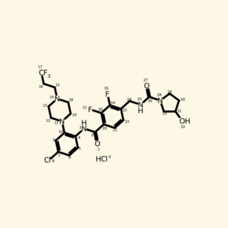 Cl.O=C(Nc1ccc(Cl)cc1N1CCN(CCC(F)(F)F)CC1)c1ccc(CNC(=O)N2CCC(O)C2)c(F)c1F